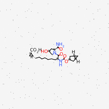 NC(=O)[C@@H]1C[C@@H](O)CN1C(=O)[C@H](CCCCCCC[C@@H]1C[C@@H]1C(=O)O)NC(=O)O[C@@H]1C[C@@H]2C[C@@H]2C1